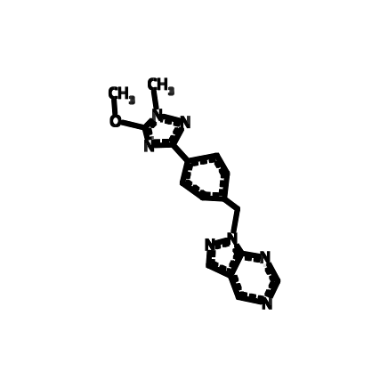 COc1nc(-c2ccc(Cn3ncc4cncnc43)cc2)nn1C